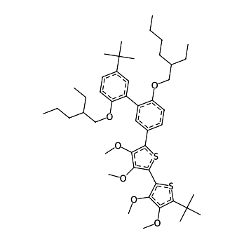 CCCCC(CC)COc1ccc(-c2sc(-c3sc(C(C)(C)C)c(OC)c3OC)c(OC)c2OC)cc1-c1cc(C(C)(C)C)ccc1OCC(CC)CCC